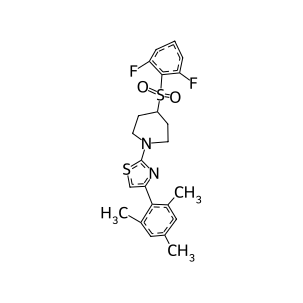 Cc1cc(C)c(-c2csc(N3CCC(S(=O)(=O)c4c(F)cccc4F)CC3)n2)c(C)c1